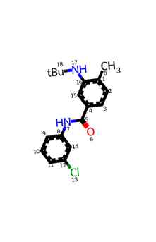 Cc1ccc(C(=O)Nc2cccc(Cl)c2)cc1NC(C)(C)C